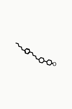 CCCCCc1ccc(CCCCC2CCC(C3CCC(=O)CC3)CC2)cc1